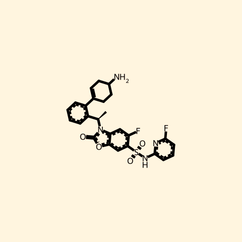 C[C@H](c1ccccc1C1=CCC(N)CC1)n1c(=O)oc2cc(S(=O)(=O)Nc3cccc(F)n3)c(F)cc21